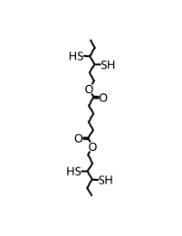 CCC(S)C(S)CCOC(=O)CCCCC(=O)OCCC(S)C(S)CC